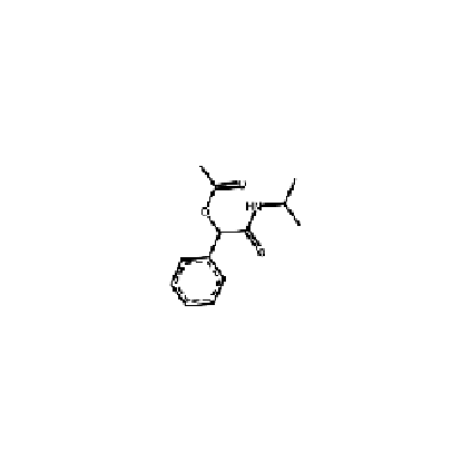 CC(=O)OC(C(=O)NC(C)C)c1ccccc1